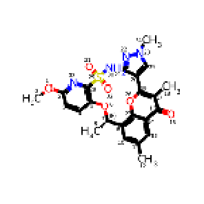 COc1ccc(O[C@H](C)c2cc(C)cc3c(=O)c(C)c(-c4cnn(C)c4)oc23)c(S(N)(=O)=O)n1